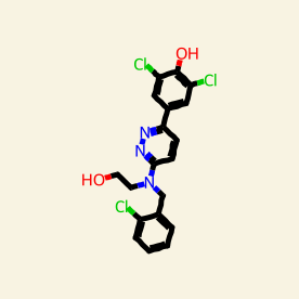 OCCN(Cc1ccccc1Cl)c1ccc(-c2cc(Cl)c(O)c(Cl)c2)nn1